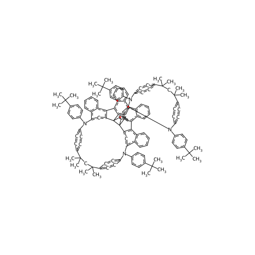 CC(C)(C)c1ccc(N2c3ccc(cc3)C(C)(C)CC(C)(C)c3ccc(cc3)N(c3ccc(C(C)(C)C)cc3)c3cc4c(c5ccccc35)-c3c5cc(c6ccccc36)N(c3ccc(C(C)(C)C)cc3)c3ccc(cc3)C(C)(C)CC(C)(C)c3ccc(cc3)N(c3ccc(C(C)(C)C)cc3)c3cc6c(c7ccccc37)-c3c(cc2c2ccccc32)C6(C)C45C)cc1